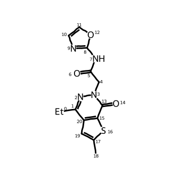 CCc1nn(CC(=O)Nc2ncco2)c(=O)c2sc(C)cc12